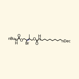 CCCCCCCCCCCCCCCCCCNC(=O)OC/C(I)=C(\Br)COC(=O)NCCCC